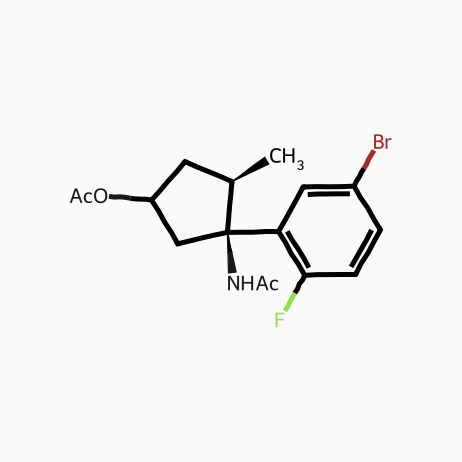 CC(=O)N[C@@]1(c2cc(Br)ccc2F)CC(OC(C)=O)C[C@H]1C